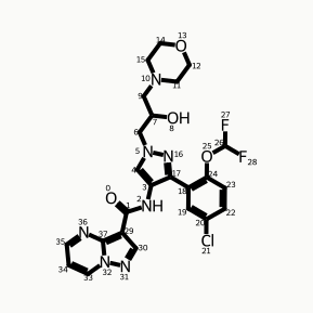 O=C(Nc1cn(CC(O)CN2CCOCC2)nc1-c1cc(Cl)ccc1OC(F)F)c1cnn2cccnc12